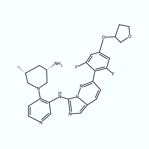 C[C@@H]1C[C@H](N)CN(c2ccncc2Nc2ncc3ccc(-c4c(F)cc(OC5CCOC5)cc4F)nn23)C1